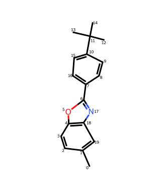 Cc1ccc2oc(-c3ccc(C(C)(C)C)cc3)nc2c1